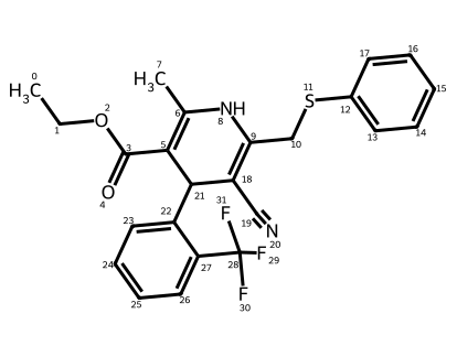 CCOC(=O)C1=C(C)NC(CSc2ccccc2)=C(C#N)C1c1ccccc1C(F)(F)F